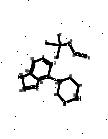 CC(C)(C)OC=O.c1nc(N2CCNCC2)c2cn[nH]c2n1